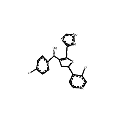 OC(C1=C(c2nc[nH]n2)SC(c2ccncc2Cl)C1)c1ccc(Cl)cc1